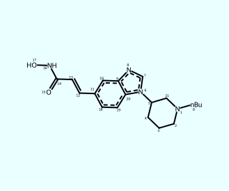 CCCCN1CCCC(n2cnc3cc(C=CC(=O)NO)ccc32)C1